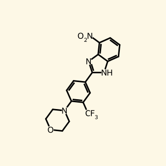 O=[N+]([O-])c1cccc2[nH]c(-c3ccc(N4CCOCC4)c(C(F)(F)F)c3)nc12